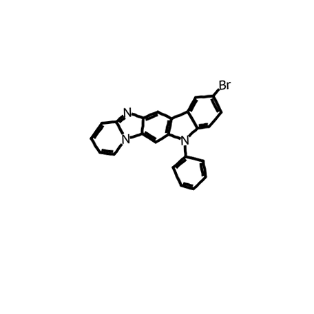 Brc1ccc2c(c1)c1cc3nc4ccccn4c3cc1n2-c1ccccc1